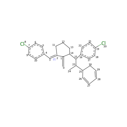 C=C1/C(=C/c2ccc(Cl)cc2)CCCC1C(c1ccc(Cl)cc1)C(C)C1C=CC=CC1